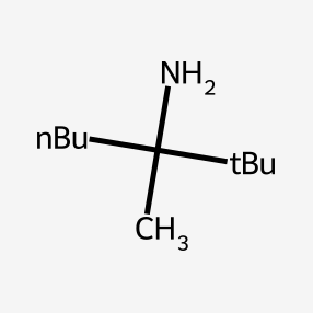 CCCCC(C)(N)C(C)(C)C